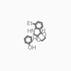 CCc1cccc2c1N[C@@H](c1cccc(O)c1)[C@@H]1OCCO[C@H]21